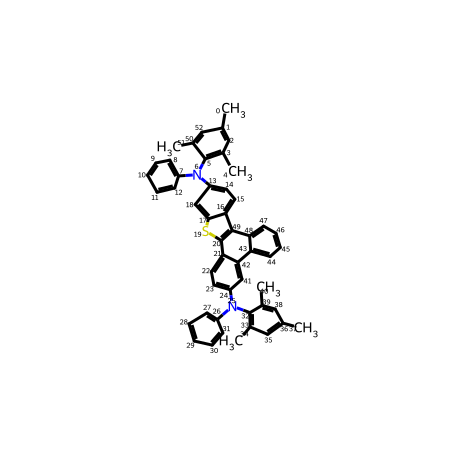 Cc1cc(C)c(N(c2ccccc2)c2ccc3c(c2)sc2c4ccc(N(c5ccccc5)c5c(C)cc(C)cc5C)cc4c4ccccc4c32)c(C)c1